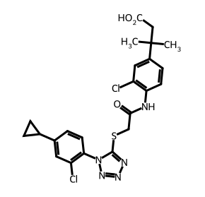 CC(C)(CC(=O)O)c1ccc(NC(=O)CSc2nnnn2-c2ccc(C3CC3)cc2Cl)c(Cl)c1